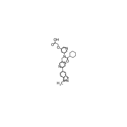 Cn1ncc2cc(-c3cnc(CN(C(=O)C4CCCCC4)c4cncc(OCC(=O)O)c4)cn3)ccc21